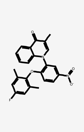 Cc1cc(F)cc(C)c1Oc1ccc([N+](=O)[O-])cc1-n1cc(C)c(=O)c2ccccc21